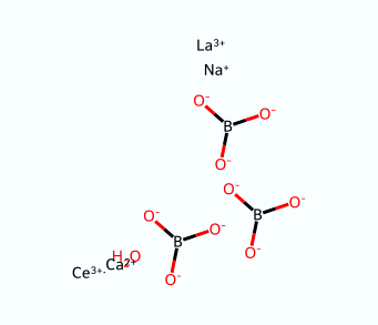 O.[Ca+2].[Ce+3].[La+3].[Na+].[O-]B([O-])[O-].[O-]B([O-])[O-].[O-]B([O-])[O-]